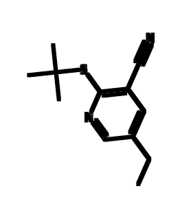 CCc1cnc(SC(C)(C)C)c(C#N)c1